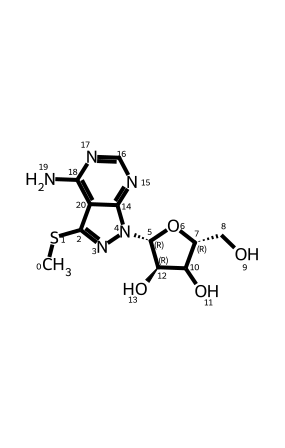 CSc1nn([C@@H]2O[C@H](CO)C(O)[C@H]2O)c2ncnc(N)c12